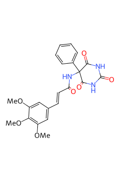 COc1cc(C=CC(=O)NC2(c3ccccc3)C(=O)NC(=O)NC2=O)cc(OC)c1OC